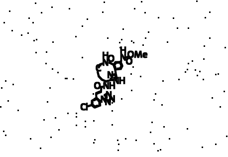 COC(=O)Nc1ccc2c(c1)C(=O)NCCCCCC(NC(=O)C=Cc1cc(Cl)ccc1-n1cnnn1)c1nc-2c[nH]1